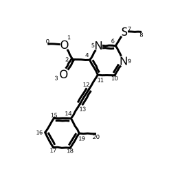 COC(=O)c1nc(SC)ncc1C#Cc1ccccc1C